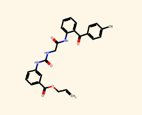 C=CCOC(=O)c1cccc(NC(=O)NCC(=O)Nc2ccccc2C(=O)c2ccc(C#N)cc2)c1